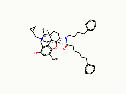 CC(=O)Oc1cc(O)c2c3c1O[C@H]1[C@@H](N(CCCCc4ccccc4)C(=O)CCCCCc4ccccc4)CC[C@H]4[C@@H](C2)N(CC2CC2)CC[C@@]341